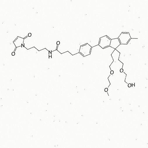 COCCOCCCC1(CCCOCCO)c2cc(C)ccc2-c2ccc(-c3ccc(CCCC(=O)NCCCCN4C(=O)C=CC4=O)cc3)cc21